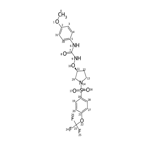 COc1ccc(NC(=O)NO[C@H]2CCN(S(=O)(=O)c3ccc(OC(F)(F)F)cc3)C2)cc1